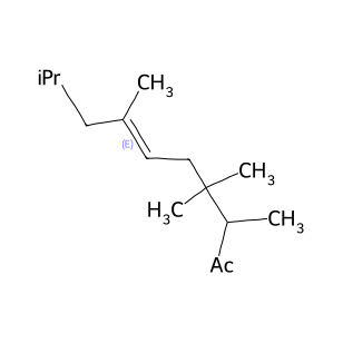 CC(=O)C(C)C(C)(C)C/C=C(\C)CC(C)C